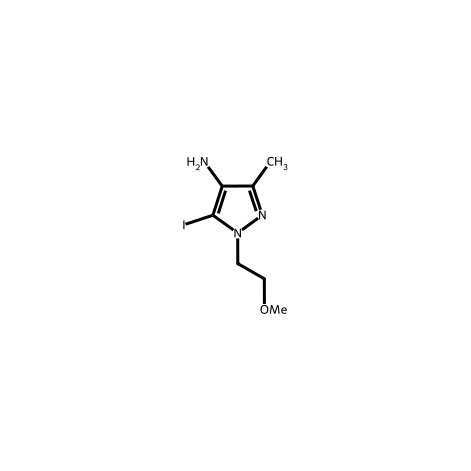 COCCn1nc(C)c(N)c1I